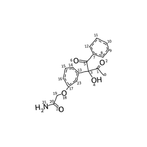 CC(=O)C(O)(C(=O)c1ccccc1)c1cccc(OCC(N)=O)c1